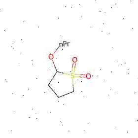 CCCOC1CCCS1(=O)=O